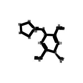 COC1=N[C@H](C(C)C)C(OC)=N[C@H]1C[SiH]1CCCC1